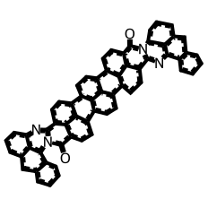 O=c1c2ccc3c4ccc5c6ccc7c8c(ccc(c9ccc(c%10ccc(c2c%103)c2nc3c%10ccccc%10cc%10cccc(c%103)n12)c4c95)c68)c(=O)n1c7nc2cccc3cc4ccccc4c1c32